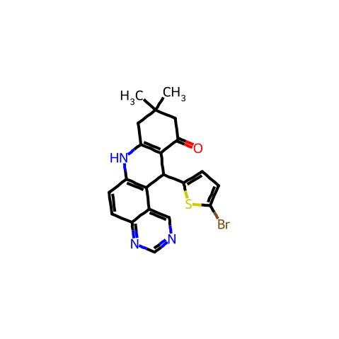 CC1(C)CC(=O)C2=C(C1)Nc1ccc3ncncc3c1C2c1ccc(Br)s1